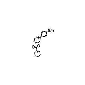 CC(C)(C)c1ccc(N2CC[N][C@@H](OC(=O)N3CCCCC3)C2)cc1